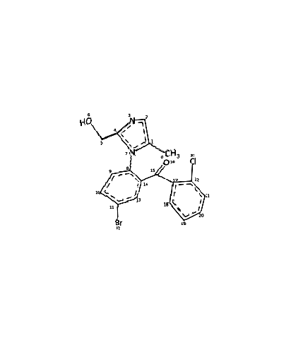 Cc1cnc(CO)n1-c1ccc(Br)cc1C(=O)c1ccccc1Cl